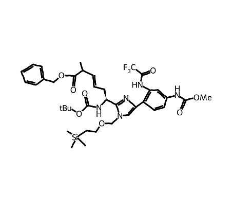 COC(=O)Nc1ccc(-c2cn(COCC[Si](C)(C)C)c([C@H](C/C=C/C(C)C(=O)OCc3ccccc3)NC(=O)OC(C)(C)C)n2)c(NC(=O)C(F)(F)F)c1